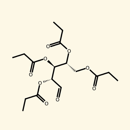 CCC(=O)OC[C@@H](OC(=O)CC)[C@H](OC(=O)CC)[C@H](C=O)OC(=O)CC